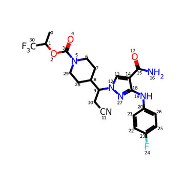 CC(OC(=O)N1CCC(C(CC#N)n2cc(C(N)=O)c(Nc3ccc(F)cc3)n2)CC1)C(F)(F)F